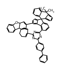 CC1(C)c2ccccc2C2(c3ccc(C4=CC5Oc6ccccc6C5C=C4)cc3-c3c(-c4nc(C5=CCCCC=C5)nc(-c5ccc(-c6ccccc6)cc5)n4)cccc32)c2ccccc21